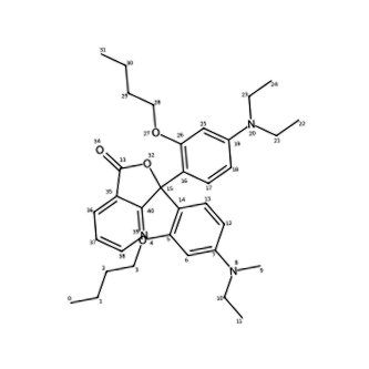 CCCCOc1cc(N(C)CC)ccc1C1(c2ccc(N(CC)CC)cc2OCCCC)OC(=O)c2cccnc21